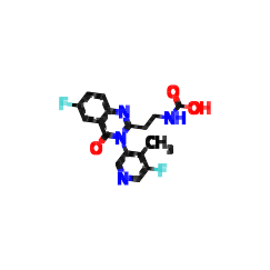 Cc1c(F)cncc1-n1c(CCNC(=O)O)nc2ccc(F)cc2c1=O